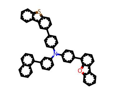 c1cc(-c2cccc3ccccc23)cc(N(c2ccc(-c3ccc4sc5ccccc5c4c3)cc2)c2ccc(-c3cccc4c3oc3ccccc34)cc2)c1